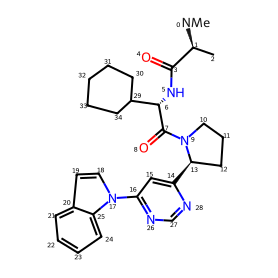 CN[C@@H](C)C(=O)N[C@H](C(=O)N1CCC[C@H]1c1cc(-n2ccc3ccccc32)ncn1)C1CCCCC1